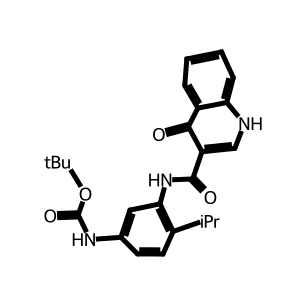 CC(C)c1ccc(NC(=O)OC(C)(C)C)cc1NC(=O)c1c[nH]c2ccccc2c1=O